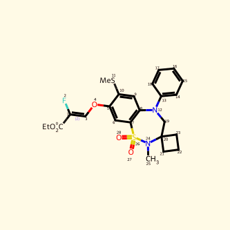 CCOC(=O)/C(F)=C/Oc1cc2c(cc1SC)N(c1ccccc1)CC1(CCC1)N(C)S2(=O)=O